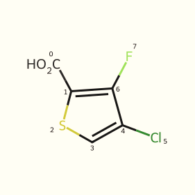 O=C(O)c1scc(Cl)c1F